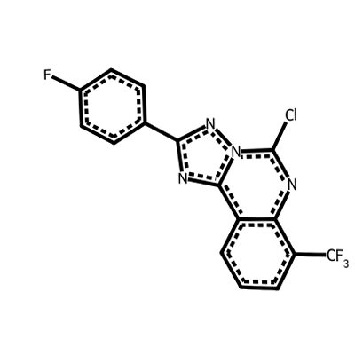 Fc1ccc(-c2nc3c4cccc(C(F)(F)F)c4nc(Cl)n3n2)cc1